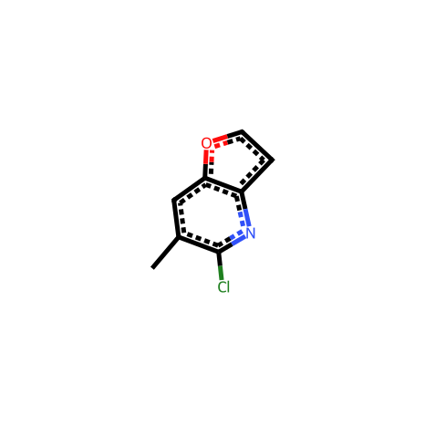 Cc1cc2occc2nc1Cl